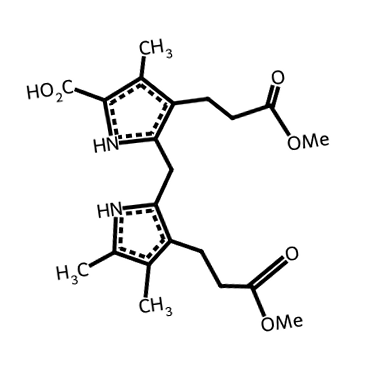 COC(=O)CCc1c(Cc2[nH]c(C(=O)O)c(C)c2CCC(=O)OC)[nH]c(C)c1C